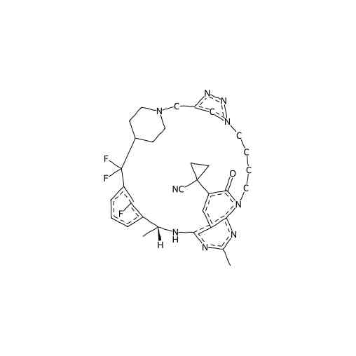 Cc1nc2c3cc(C4(C#N)CC4)c(=O)n(c3n1)CCCCn1cc(nn1)CN1CCC(CC1)C(F)(F)c1cccc(c1F)[C@@H](C)N2